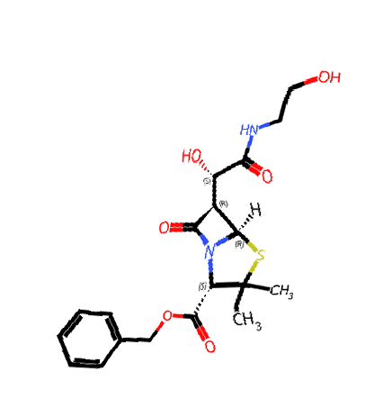 CC1(C)S[C@@H]2[C@H]([C@H](O)C(=O)NCCO)C(=O)N2[C@H]1C(=O)OCc1ccccc1